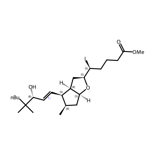 CCCCC(C)(C)[C@H](O)/C=C/[C@H]1[C@H]2C[C@@H]([C@@H](I)CCCC(=O)OC)O[C@H]2C[C@H]1C